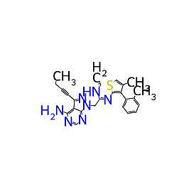 C=CN/C(Cn1nc(C#CCC)c2c(N)ncnc21)=N\c1scc(C)c1-c1ccccc1C